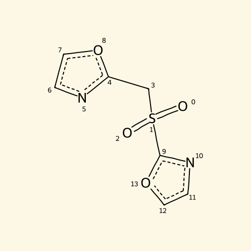 O=S(=O)(Cc1ncco1)c1ncco1